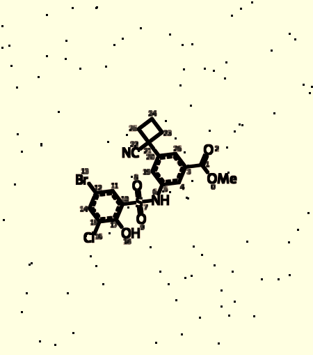 COC(=O)c1cc(NS(=O)(=O)c2cc(Br)cc(Cl)c2O)cc(C2(C#N)CCC2)c1